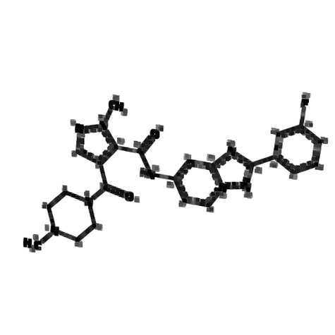 CN1CCN(C(=O)c2cnn(C)c2C(=O)Nc2ccn3nc(-c4cccc(F)c4)nc3c2)CC1